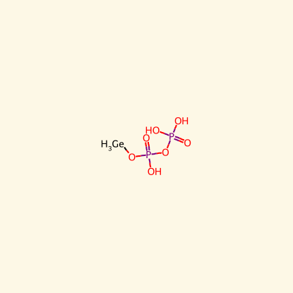 O=P(O)(O)OP(=O)(O)[O][GeH3]